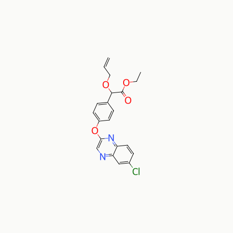 C=CCOC(C(=O)OCC)c1ccc(Oc2cnc3cc(Cl)ccc3n2)cc1